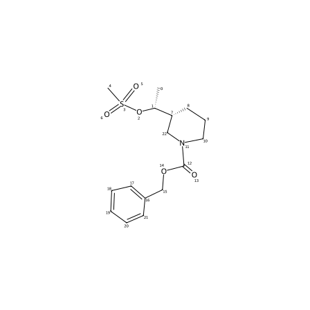 C[C@@H](OS(C)(=O)=O)[C@@H]1CCCN(C(=O)OCc2ccccc2)C1